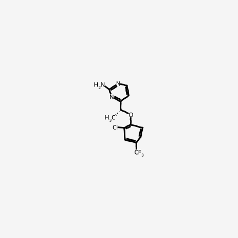 C[C@@H](Oc1ccc(C(F)(F)F)cc1Cl)c1ccnc(N)n1